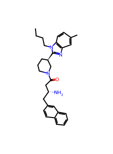 CCCCn1c([C@@H]2CCCN(C(=O)C[C@H](N)Cc3ccc4ccccc4c3)C2)nc2cc(C)ccc21